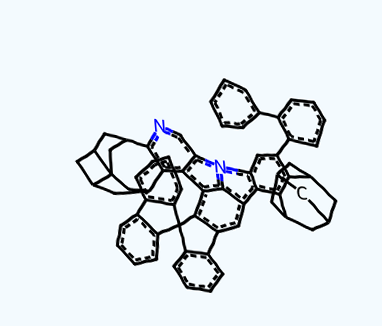 c1ccc(-c2ccccc2-c2cc3c(c4c2C2CC5CC(C2)CC4C5)c2cc4c(c5c6c7c(ncc6n3c25)C2CC3CC5CC7CC35C2)C2(c3ccccc3-c3ccccc32)c2ccccc2-4)cc1